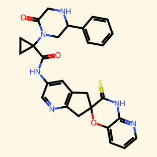 O=C1CNC(c2ccccc2)CN1C1(C(=O)Nc2cnc3c(c2)CC2(C3)Oc3cccnc3NC2=S)CC1